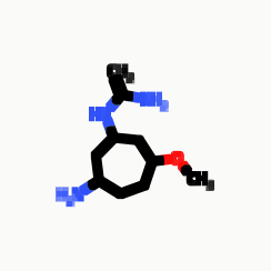 C=C(N)NC1CC(N)CCC(OC)C1